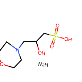 O=S(=O)(O)CC(O)CN1CCOCC1.[NaH]